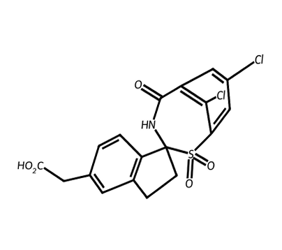 O=C(O)Cc1ccc2c(c1)CCC21NC(=O)c2cc(Cl)cc(c2Cl)S1(=O)=O